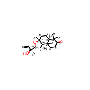 C=C[C@](C)(O)[C@H]1C[C@@H]2[C@@]3(C)CCC(=O)C(C)(C)[C@@H]3CC[C@@]2(C)O1